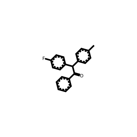 Cc1ccc(C(C(=O)c2ccccc2)c2ccc(F)cc2)cc1